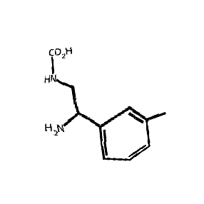 Cc1cccc(C(N)CNC(=O)O)c1